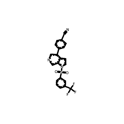 N#Cc1ccc(-c2cncc3c2ccn3S(=O)(=O)c2cccc(C(F)(F)F)c2)cc1